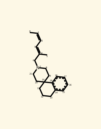 C/C=C\C=C(/C)CN1CCC2(CCCc3ccccc32)CC1